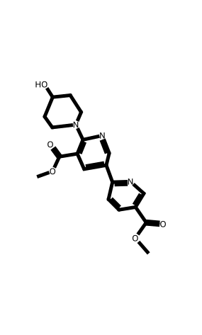 COC(=O)c1ccc(-c2cnc(N3CCC(O)CC3)c(C(=O)OC)c2)nc1